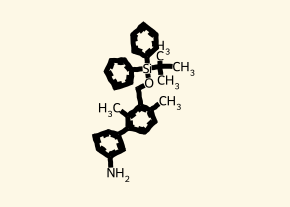 Cc1ccc(-c2cccc(N)c2)c(C)c1CO[Si](c1ccccc1)(c1ccccc1)C(C)(C)C